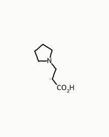 O=C(O)[CH]CN1CCCC1